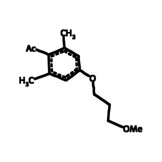 COCCCOc1cc(C)c(C(C)=O)c(C)c1